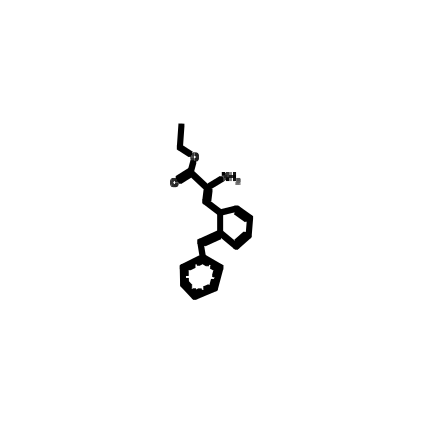 CCOC(=O)C(N)=CC1C=CC=CC1=Cc1ccccc1